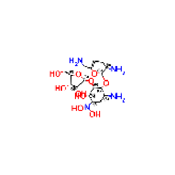 NCC1=CC[C@@H](N)[C@@H](O[C@H]2[C@H](O[C@@H]3O[C@H](CO)[C@@H](O)[C@H]3O)[C@@H](O)[C@H](N(O)O)C[C@@H]2N)O1